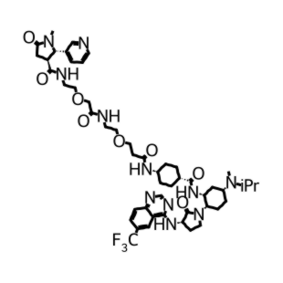 CC(C)N(C)[C@@H]1CC[C@H](N2CC[C@H](Nc3ncnc4ccc(C(F)(F)F)cc34)C2=O)[C@H](NC(=O)[C@H]2CC[C@@H](NC(=O)CCOCCNC(=O)COCCNC(=O)[C@H]3CC(=O)N(C)[C@@H]3c3cccnc3)CC2)C1